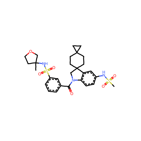 CC1(NS(=O)(=O)c2cccc(C(=O)N3CC4(CCC5(CC5)CC4)c4cc(NS(C)(=O)=O)ccc43)c2)CCOC1